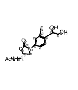 CC(=O)NC[C@H]1CN(c2ccc(C(O)CO)c(F)c2)C(=O)O1